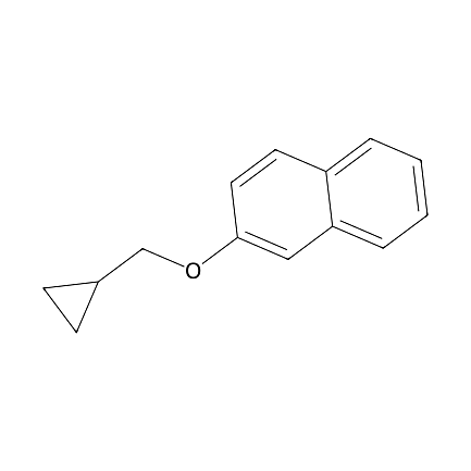 c1ccc2cc(OCC3CC3)ccc2c1